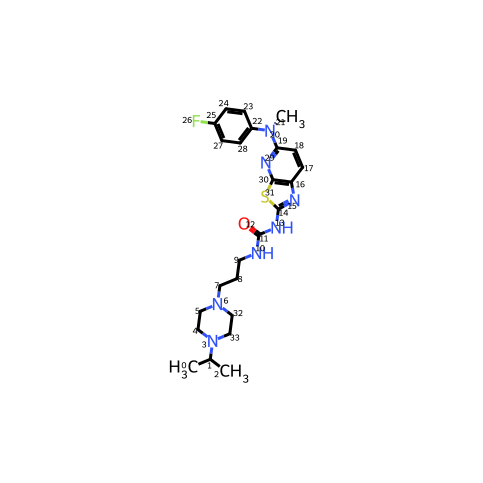 CC(C)N1CCN(CCCNC(=O)Nc2nc3ccc(N(C)c4ccc(F)cc4)nc3s2)CC1